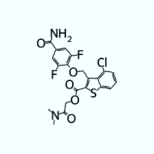 CN(C)C(=O)COC(=O)c1sc2cccc(Cl)c2c1COc1c(F)cc(C(N)=O)cc1F